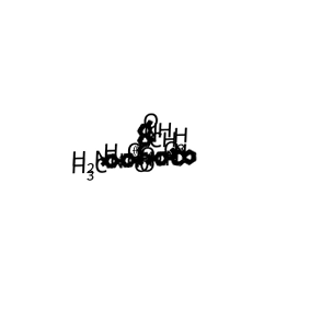 Cc1cc([C@@H](C)C(OC(=O)N2CCC(N3CCc4ccccc4NC3=O)CC2)C(=O)N2CCC(N3CCC(C)(N)CC3)CC2)cc2ccc(=O)[nH]c12